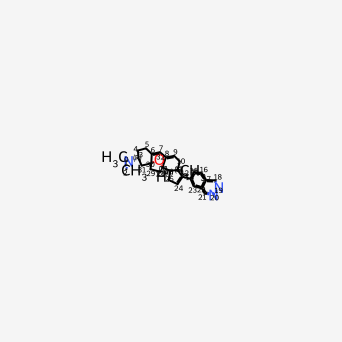 CN(C)[C@@H]1CCC2=CC3=CC[C@]4(C)C(c5ccc6cnncc6c5)=CC[C@H]4[C@@]34CCC2(C1)O4